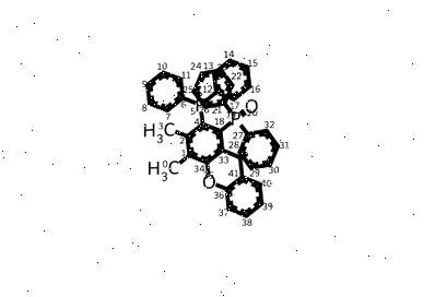 Cc1c(C)c(P(c2ccccc2)c2ccccc2)c(P(=O)(c2ccccc2)c2ccccc2)c2c1Oc1ccccc1C2